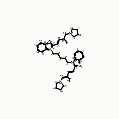 FC(C=Cc1sc2ccccc2[n+]1CCCCC[n+]1c(C=CC(F)CN2CCCC2)sc2ccccc21)=CN1CCCC1